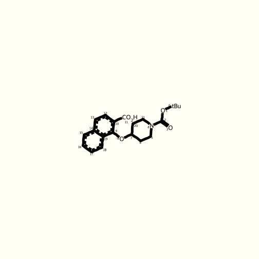 CC(C)(C)OC(=O)N1CCC(Oc2c(C(=O)O)ccc3ccccc23)CC1